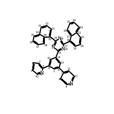 c1ccc(-c2cc(-c3ccncc3)cc(-c3nc(-c4cccc5ccccc45)nc(-c4cccc5ccccc45)n3)c2)nc1